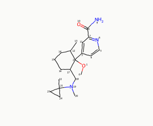 COC1(c2ccnc(C(N)=O)c2)C(C)CCCC1CN(C)C1(C)CC1